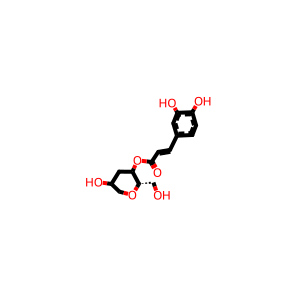 O=C(/C=C/c1ccc(O)c(O)c1)OC1CC(O)CO[C@H]1CO